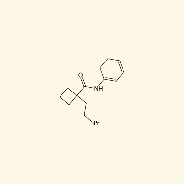 CC(C)CCC1(C(=O)NC2=CC=CC[CH]2)CCC1